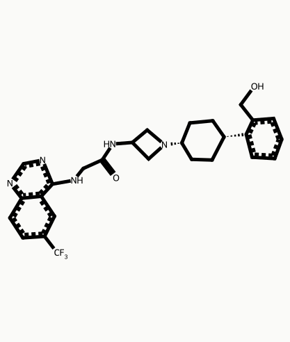 O=C(CNc1ncnc2ccc(C(F)(F)F)cc12)NC1CN([C@H]2CC[C@@H](c3ccccc3CO)CC2)C1